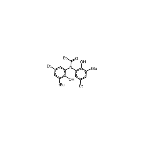 CCC(=O)N(c1cc(CC)cc(C(C)(C)C)c1O)c1cc(CC)cc(C(C)(C)C)c1O